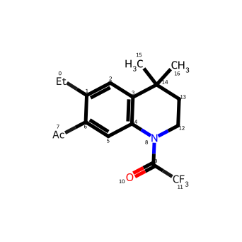 CCc1cc2c(cc1C(C)=O)N(C(=O)C(F)(F)F)CCC2(C)C